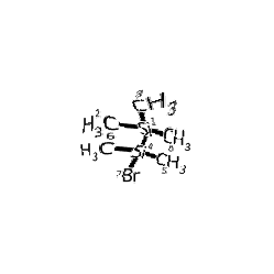 C[Si](C)(C)[Si](C)(C)Br